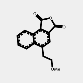 COCCc1cc2c(c3ccccc13)C(=O)OC2=O